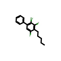 CCCCCc1c(F)cc(-c2ccccc2)c(Br)c1F